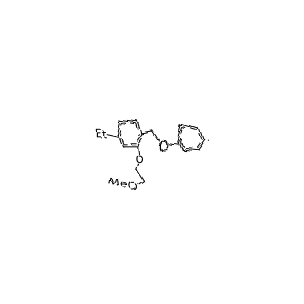 CCc1ccc(COc2cc[c]cc2)c(OCCOC)c1